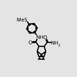 CSc1ccc(NC(=O)C2C(C(N)=O)C3CCC2C32CC2)cc1